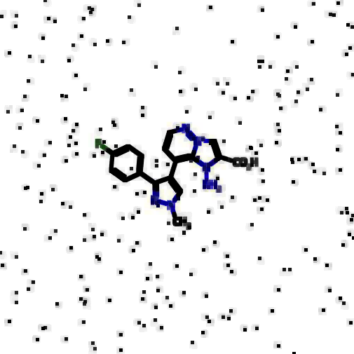 Cn1cc(-c2ccn[n+]3cc(C(=O)O)n(N)c23)c(-c2ccc(F)cc2)n1